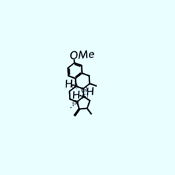 C=C1C(C)C[C@H]2[C@@H]3C(C)Cc4cc(OC)ccc4[C@H]3CC[C@]12C